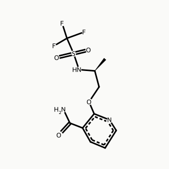 C[C@@H](COc1ncccc1C(N)=O)NS(=O)(=O)C(F)(F)F